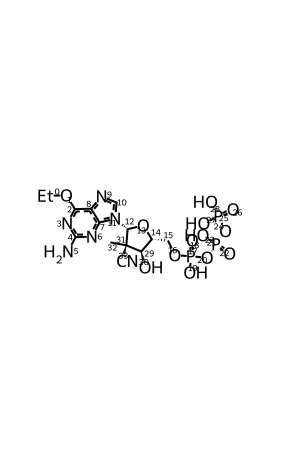 CCOc1nc(N)nc2c1ncn2[C@@H]1O[C@H](COP(=O)(O)OP(=O)(O)OP(=O)(O)O)[C@@H](O)[C@@]1(C)C#N